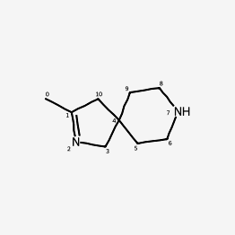 CC1=NCC2(CCNCC2)C1